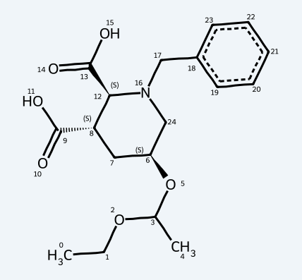 CCOC(C)O[C@H]1C[C@H](C(=O)O)[C@@H](C(=O)O)N(Cc2ccccc2)C1